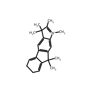 CC1=[N+](C)c2cc3c(cc2C1(C)C)C1=CCCC=C1C3(C)C